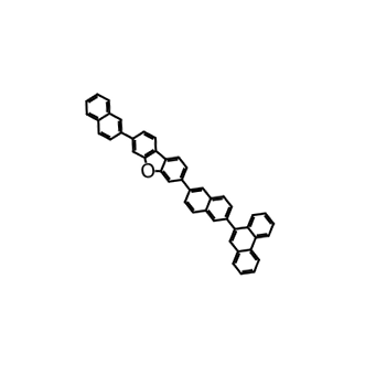 c1ccc2cc(-c3ccc4c(c3)oc3cc(-c5ccc6cc(-c7cc8ccccc8c8ccccc78)ccc6c5)ccc34)ccc2c1